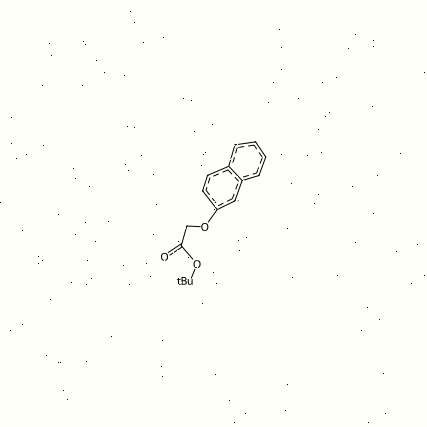 CC(C)(C)OC(=O)COc1[c]c2ccccc2cc1